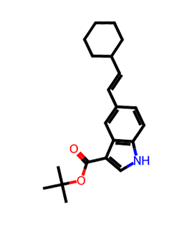 CC(C)(C)OC(=O)c1c[nH]c2ccc(C=CC3CCCCC3)cc12